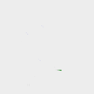 C[C@@H]1CN(c2cc(N3CCCCCC3Cc3ccccc3)[nH]c(=O)c2)C[C@@H](F)O1